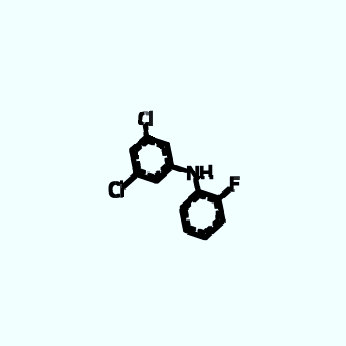 Fc1ccccc1Nc1cc(Cl)cc(Cl)c1